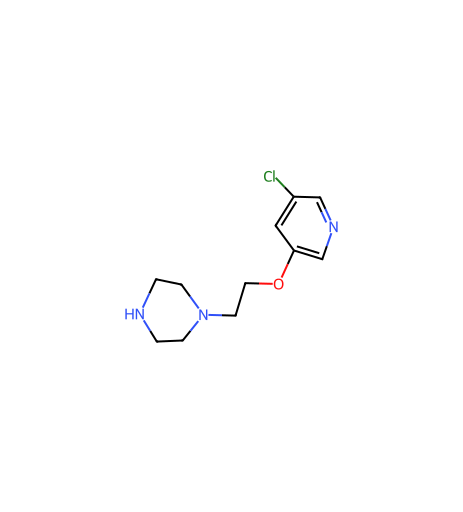 Clc1cncc(OCCN2CCNCC2)c1